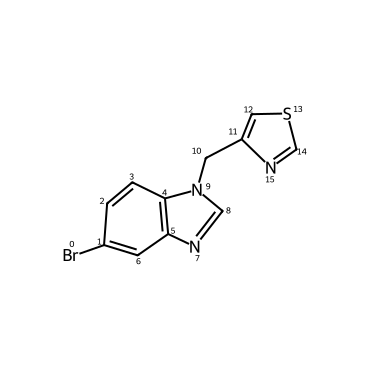 Brc1ccc2c(c1)ncn2Cc1cscn1